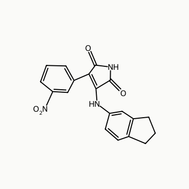 O=C1NC(=O)C(c2cccc([N+](=O)[O-])c2)=C1Nc1ccc2c(c1)CCC2